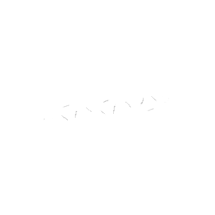 COc1ccc(/C=C/c2ccc(/C=C/c3ccc(Cl)cc3)cc2)cc1